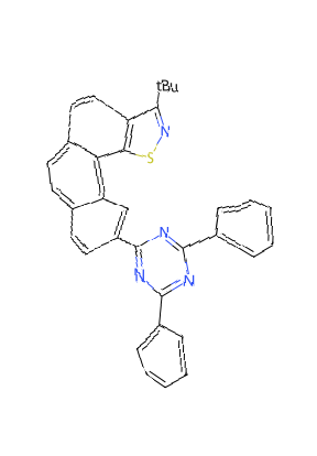 CC(C)(C)c1nsc2c1ccc1ccc3ccc(-c4nc(-c5ccccc5)nc(-c5ccccc5)n4)cc3c12